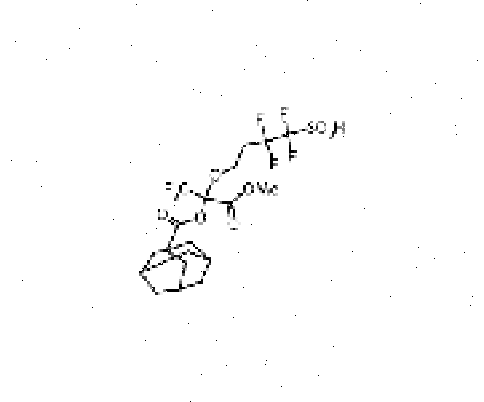 COC(=O)C(OCCC(F)(F)C(F)(F)S(=O)(=O)O)(OC(=O)C12CC3CC(CC(C3)C1)C2)C(F)(F)F